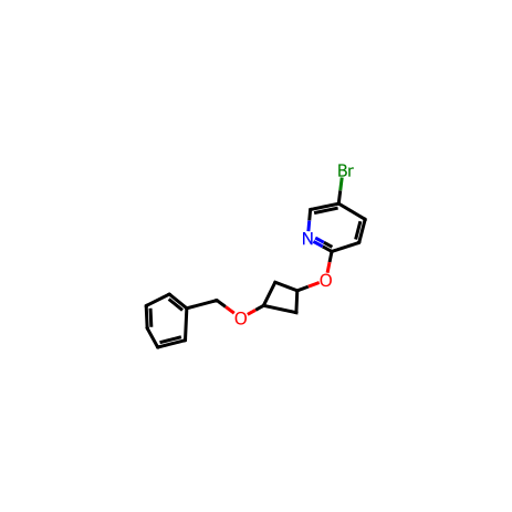 Brc1ccc(OC2CC(OCc3ccccc3)C2)nc1